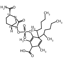 CCCCC(C)C1(C(C)CCCC)C=C(C)C(C(=O)O)C(C)=C1OS(=O)(=O)ON1C(=O)N2C[C@H]1CC[C@H]2C(N)=O